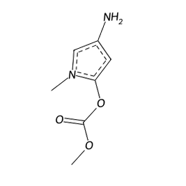 COC(=O)Oc1cc(N)cn1C